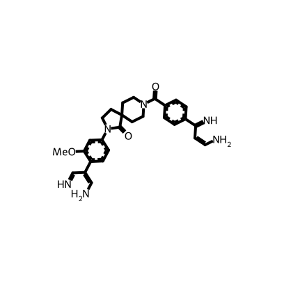 COc1cc(N2CCC3(CCN(C(=O)c4ccc(C(=N)/C=C\N)cc4)CC3)C2=O)ccc1/C(C=N)=C/N